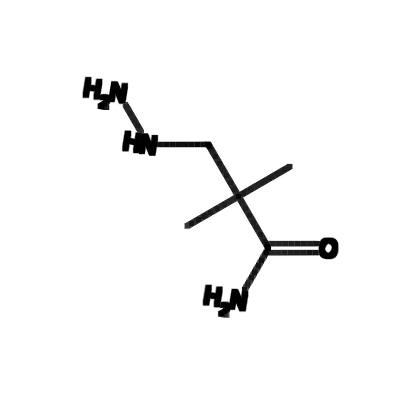 CC(C)(CNN)C(N)=O